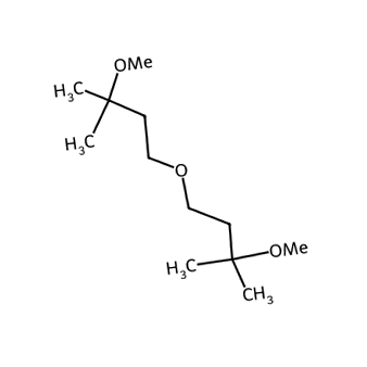 COC(C)(C)CCOCCC(C)(C)OC